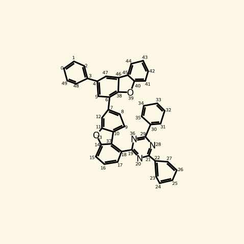 c1ccc(-c2cc(-c3ccc4c(c3)oc3cccc(-c5nc(-c6ccccc6)nc(-c6ccccc6)n5)c34)c3oc4ccccc4c3c2)cc1